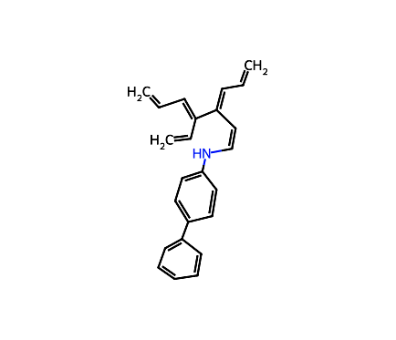 C=C/C=C(C=C)/C(/C=C\Nc1ccc(-c2ccccc2)cc1)=C/C=C